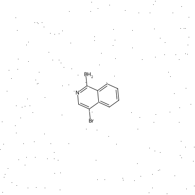 Bc1ncc(Br)c2ccccc12